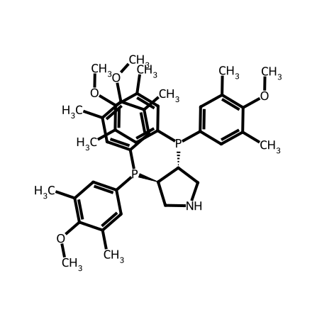 COc1c(C)cc(P(c2cc(C)c(OC)c(C)c2)[C@@H]2CNC[C@H]2P(c2cc(C)c(OC)c(C)c2)c2cc(C)c(OC)c(C)c2)cc1C